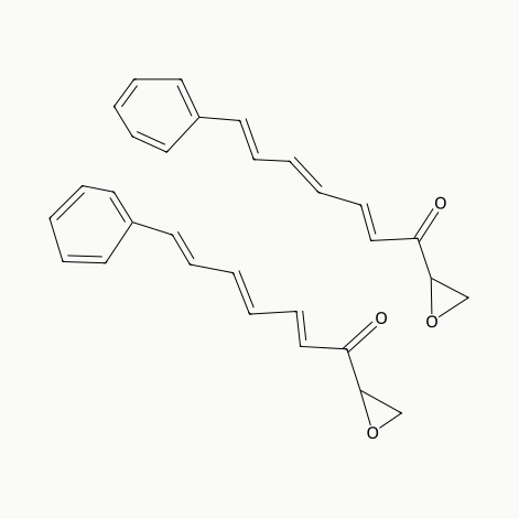 O=C(C=CC=CC=Cc1ccccc1)C1CO1.O=C(C=CC=CC=Cc1ccccc1)C1CO1